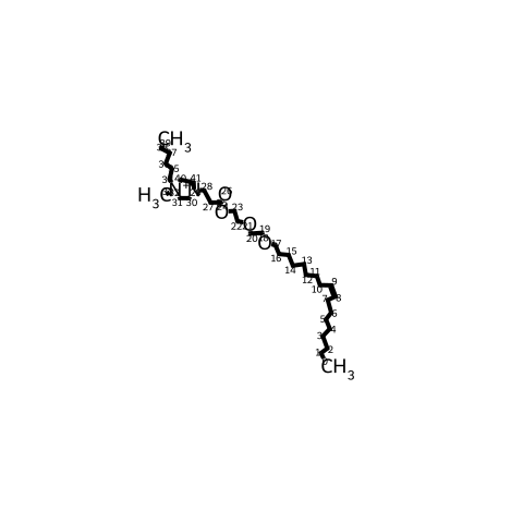 CCCCCCCC/C=C\CCCCCCCCOCCOCCOC(=O)CCN1CC[N+](C)(CCCCCC)CC1